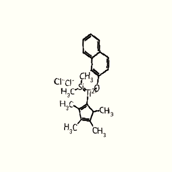 CC1=C(C)C(C)[C]([Ti+2]([O]c2ccc3ccccc3c2)=[Si](C)C)=C1C.[Cl-].[Cl-]